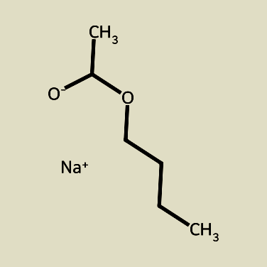 CCCCOC(C)[O-].[Na+]